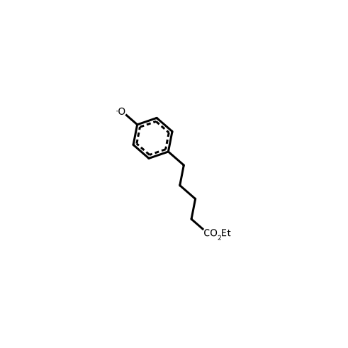 CCOC(=O)CCCCc1ccc([O])cc1